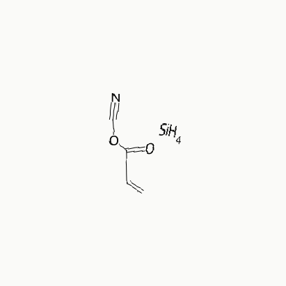 C=CC(=O)OC#N.[SiH4]